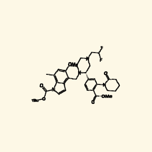 COC(=O)c1ccc([C@H]2CN(CC(F)F)CCN2Cc2c(OC)cc(C)c3c2ccn3C(=O)OC(C)(C)C)cc1N1CCCCC1=O